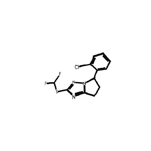 FC(F)Sc1nc2n(n1)C(c1ccccc1Cl)CC2